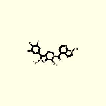 CC1c2nn(C)c(-c3cc(F)c(F)c(F)c3)c2CCN1C(=O)c1ccnc2c1ccn2C